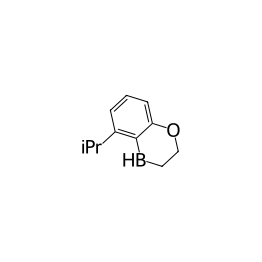 CC(C)c1cccc2c1BCCO2